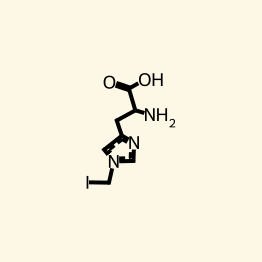 NC(Cc1cn(CI)cn1)C(=O)O